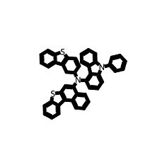 C1=CC(N(c2cc3sc4ccccc4c3c3ccccc23)c2cccc3c2c2ccccc2n3-c2ccccc2)Cc2c1sc1ccccc21